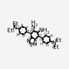 CCN(CC)c1ccc(-c2c(N)c(N)c(-c3ccc(N(CC)CC)cc3)c3nsnc23)cc1